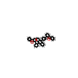 c1ccc(-c2cccc3c2oc2ccccc23)c(-c2c3ccccc3c(-c3ccc(-c4cccc5c4oc4ccccc45)cc3)c3ccccc23)c1